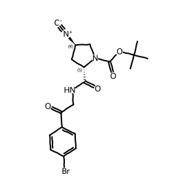 [C-]#[N+][C@@H]1C[C@@H](C(=O)NCC(=O)c2ccc(Br)cc2)N(C(=O)OC(C)(C)C)C1